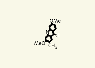 COc1ccc2c(Cl)c3cc(C)c(OC)cc3nc2c1